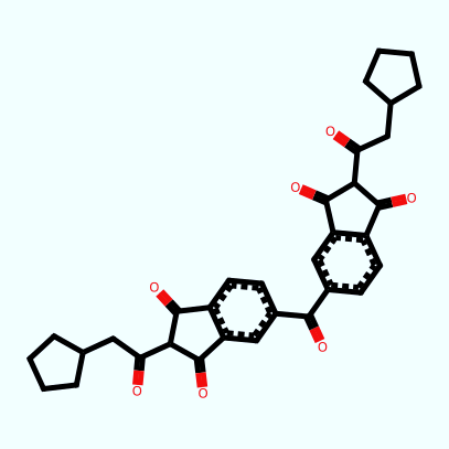 O=C(c1ccc2c(c1)C(=O)C(C(=O)CC1CCCC1)C2=O)c1ccc2c(c1)C(=O)C(C(=O)CC1CCCC1)C2=O